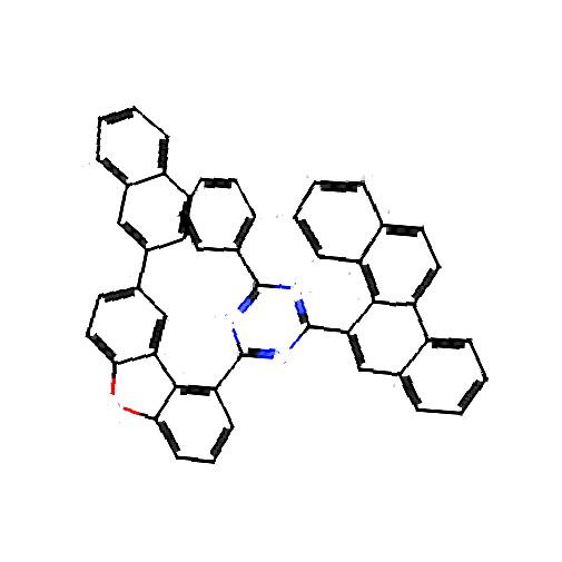 c1ccc(-c2nc(-c3cccc4oc5ccc(-c6ccc7ccccc7c6)cc5c34)nc(-c3cc4ccccc4c4ccc5ccccc5c34)n2)cc1